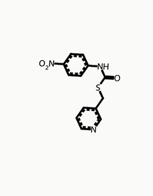 O=C(Nc1ccc([N+](=O)[O-])cc1)SCc1cccnc1